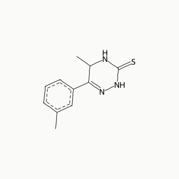 Cc1cccc(C2=NNC(=S)NC2C)c1